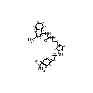 Cc1cc(NC(=O)NCCN2CCC(NC(=O)Cc3ccc(N(C)C)cc3)C2)c2ccccc2n1